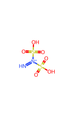 N=[N+](S(=O)(=O)O)S(=O)(=O)O